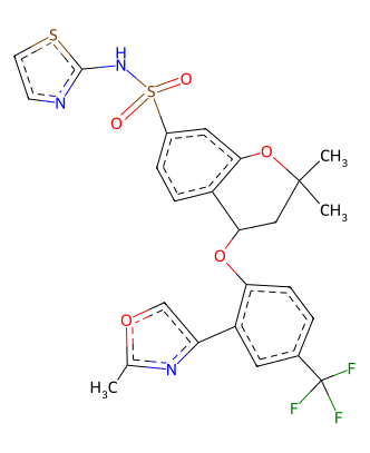 Cc1nc(-c2cc(C(F)(F)F)ccc2OC2CC(C)(C)Oc3cc(S(=O)(=O)Nc4nccs4)ccc32)co1